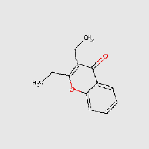 CCc1oc2ccccc2c(=O)c1CC